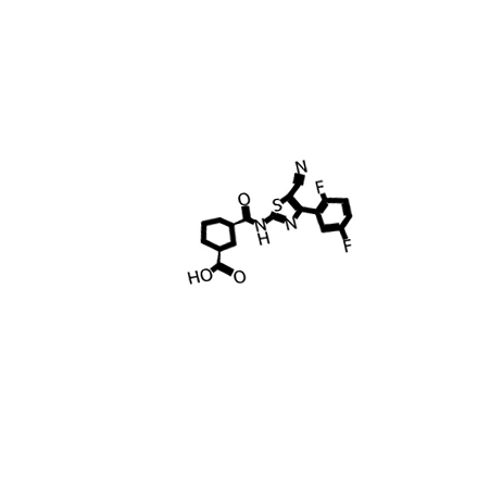 N#Cc1sc(NC(=O)[C@@H]2CCC[C@H](C(=O)O)C2)nc1-c1cc(F)ccc1F